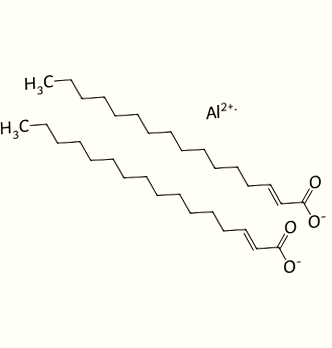 CCCCCCCCCCCCCC=CC(=O)[O-].CCCCCCCCCCCCCC=CC(=O)[O-].[Al+2]